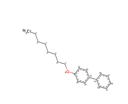 CCCCCCCCOc1ccc(-c2cc[c]cc2)cc1